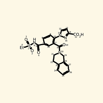 CCS(=O)(=O)NC(=O)c1ccc(-n2ccc(C(=O)O)n2)c(C(=O)N2CCc3ccccc3C2)c1